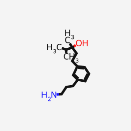 CC(C)C(C)(O)CCc1cccc(CCCN)c1